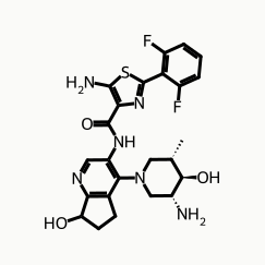 C[C@H]1CN(c2c(NC(=O)c3nc(-c4c(F)cccc4F)sc3N)cnc3c2CCC3O)C[C@@H](N)[C@@H]1O